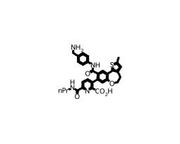 CCCNC(=O)c1ccc(-c2cc3c(cc2C(=O)Nc2ccc(CN)cc2)-c2sc(C)cc2CCO3)c(C(=O)O)n1